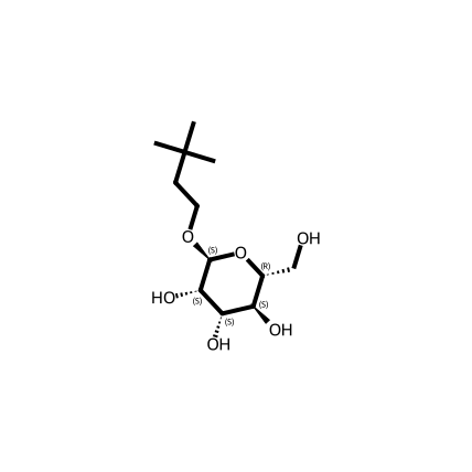 CC(C)(C)CCO[C@H]1O[C@H](CO)[C@@H](O)[C@H](O)[C@@H]1O